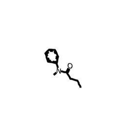 CCCC(=O)N(C)c1ccccc1